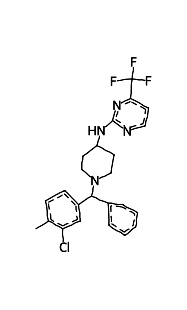 Cc1ccc(C(c2ccccc2)N2CCC(Nc3nccc(C(F)(F)F)n3)CC2)cc1Cl